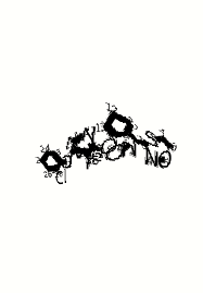 CON=C(C1=NOCCS1)c1ccccc1Oc1ncnc(Oc2ccccc2Cl)c1F